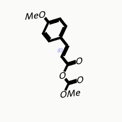 COC(=O)OC(=O)/C=C/c1ccc(OC)cc1